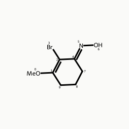 COC1=C(Br)/C(=N/O)CCC1